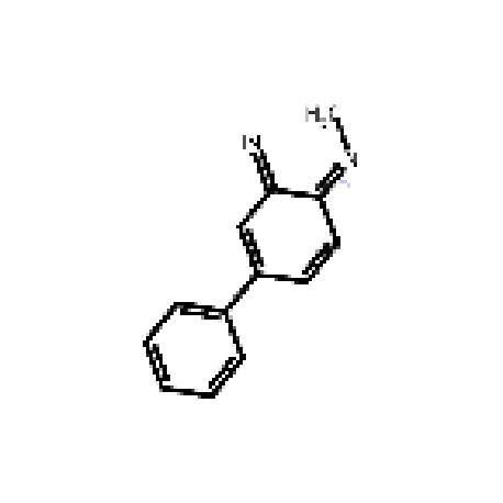 C/N=C1/C=CC(c2ccccc2)=CC1=N